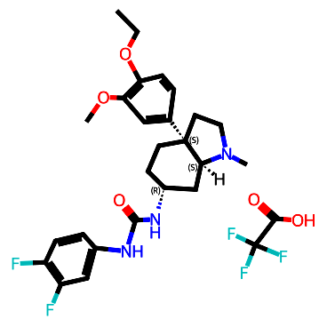 CCOc1ccc([C@@]23CC[C@@H](NC(=O)Nc4ccc(F)c(F)c4)C[C@@H]2N(C)CC3)cc1OC.O=C(O)C(F)(F)F